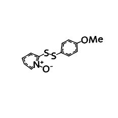 COc1ccc(SSc2cccc[n+]2[O-])cc1